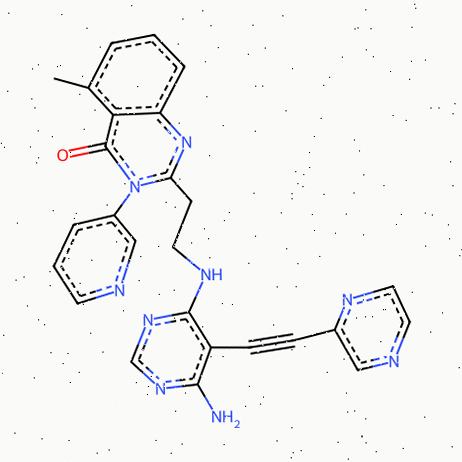 Cc1cccc2nc(CCNc3ncnc(N)c3C#Cc3cnccn3)n(-c3cccnc3)c(=O)c12